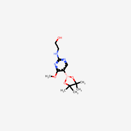 COc1nc(NCCO)ncc1B1OC(C)(C)C(C)(C)O1